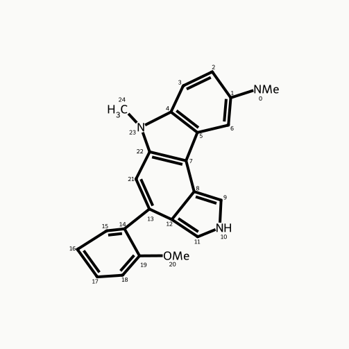 CNc1ccc2c(c1)c1c3c[nH]cc3c(-c3ccccc3OC)cc1n2C